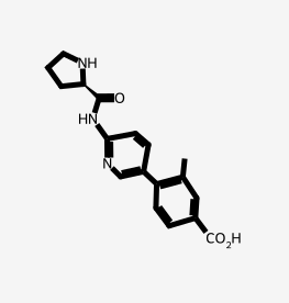 Cc1cc(C(=O)O)ccc1-c1ccc(NC(=O)[C@H]2CCCN2)nc1